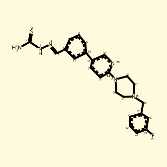 NC(=S)NN=Cc1cccc(-c2ccc(N3CCN(Cc4cccc(F)c4)CC3)nc2)c1